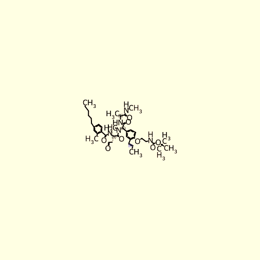 C/C=C/c1cc([C@@H](C(=O)N[C@@H](C)C(=O)NC)N(C)C(=O)[C@H](CC=O)NC(=O)c2ccc(CCCCCC)cc2C)ccc1OCCNC(=O)OC(C)(C)C